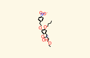 CCCCOc1cc(/C=C(/CCOCC)C(=O)O)ccc1OCCc1ccc([N+](=O)[O-])cc1